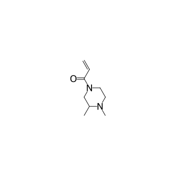 C=CC(=O)N1CCN(C)C(C)C1